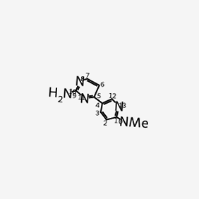 CNc1ccc(-c2ccnc(N)n2)cn1